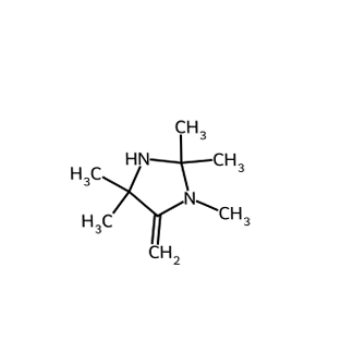 C=C1N(C)C(C)(C)NC1(C)C